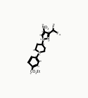 CCOC(=O)c1ccc(N2CCC(n3cc([N+](=O)[O-])c(C(F)F)n3)CC2)cc1